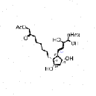 CCCCCCC(O)C(O)/C=C/[C@@H]1[C@@H](CCCCCCC(=O)COC(C)=O)[C@@H](O)C[C@H]1O